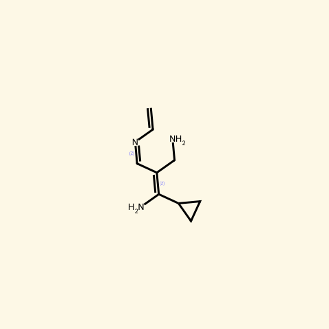 C=C/N=C\C(CN)=C(/N)C1CC1